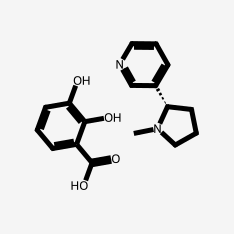 CN1CCC[C@H]1c1cccnc1.O=C(O)c1cccc(O)c1O